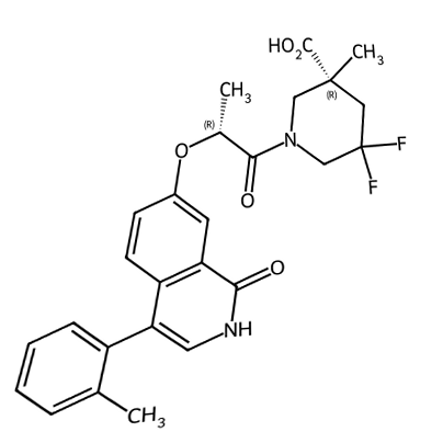 Cc1ccccc1-c1c[nH]c(=O)c2cc(O[C@H](C)C(=O)N3CC(F)(F)C[C@@](C)(C(=O)O)C3)ccc12